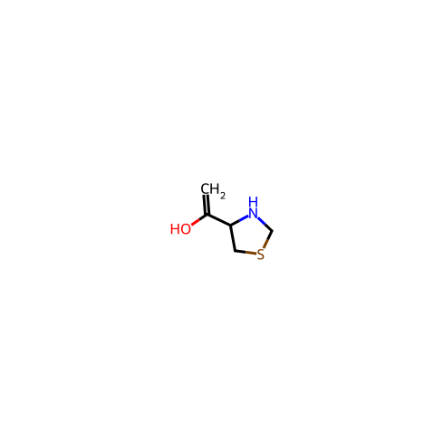 C=C(O)C1CSCN1